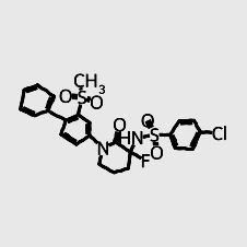 CS(=O)(=O)c1cc(N2CCCC(F)(NS(=O)(=O)c3ccc(Cl)cc3)C2=O)ccc1-c1ccccc1